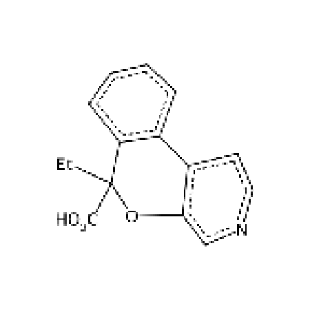 CCC1(C(=O)O)Oc2cnccc2-c2ccccc21